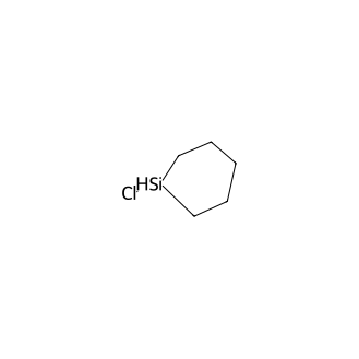 Cl[SiH]1CCCCC1